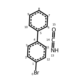 Brc1ccc(-c2ccccc2)cc1.N=C=O